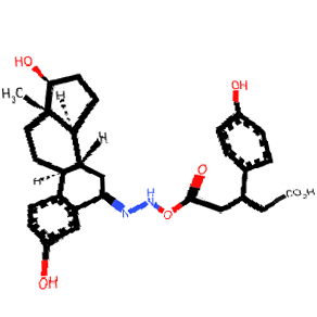 C[C@]12CC[C@@H]3c4ccc(O)cc4C(=NNOC(=O)CC(CC(=O)O)c4ccc(O)cc4)C[C@H]3[C@@H]1CC[C@@H]2O